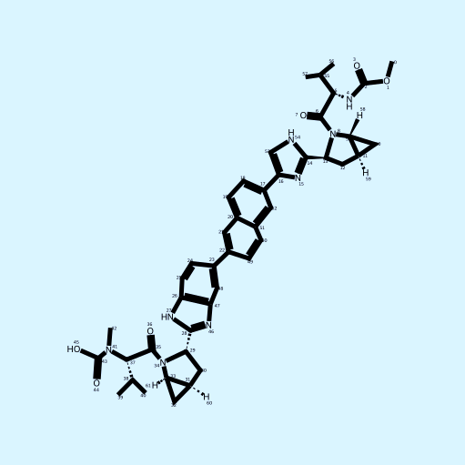 COC(=O)N[C@H](C(=O)N1[C@@H]2C[C@H]2C[C@H]1c1nc(-c2ccc3cc(-c4ccc5[nH]c([C@@H]6C[C@H]7C[C@H]7N6C(=O)[C@H](C(C)C)N(C)C(=O)O)nc5c4)ccc3c2)c[nH]1)C(C)C